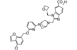 O=C(O)c1ccc2nc(CN3CC4CC3CN4c3cccc(OCc4ccc(Cl)c5ccoc45)n3)n(C[C@@H]3CCO3)c2c1